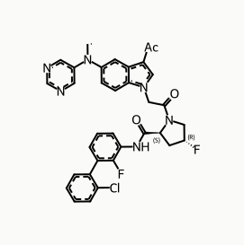 [CH2]N(c1cncnc1)c1ccc2c(c1)c(C(C)=O)cn2CC(=O)N1C[C@H](F)C[C@H]1C(=O)Nc1cccc(-c2ccccc2Cl)c1F